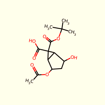 CC(=O)OC1CC(O)C2C1C2(C(=O)O)C(=O)OC(C)(C)C